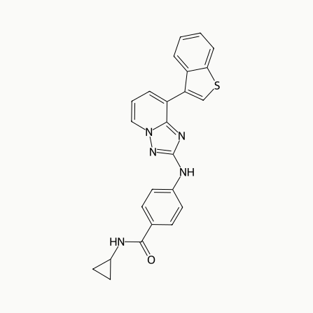 O=C(NC1CC1)c1ccc(Nc2nc3c(-c4csc5ccccc45)cccn3n2)cc1